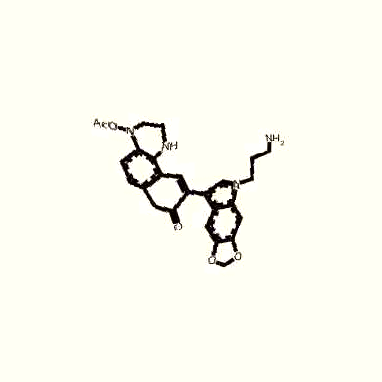 CC(=O)ON1CCNc2c1ccc1c2C=C(c2cn(CCCN)c3cc4c(cc23)OCO4)C(=O)C1